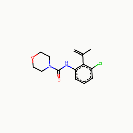 C=C(C)c1c(Cl)cccc1NC(=O)N1CCOCC1